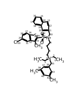 CC[N+](CC)(CCCCN(Cc1ccc2ccccc2c1)S(=O)(=O)c1sc2ccc(Cl)cc2c1C)Cc1cc(C)cc(C)c1